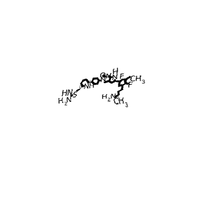 CCc1c(F)c(CCC[C@H](C)N)cc(-c2cc3cn(-c4ccc([C@@H]5CCC[C@@H](CCSC(=N)N)N5)cc4)c(=O)nc3[nH]2)c1F